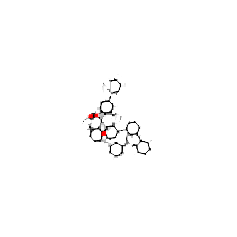 c1ccc(-n2c3ccccc3c3cccc(-c4cccc5c4Oc4cc(-c6ccccn6)ccc4C54c5ccccc5Oc5ccccc54)c32)cc1